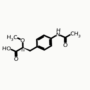 CO[C@@H](Cc1ccc(NC(C)=O)cc1)C(=O)O